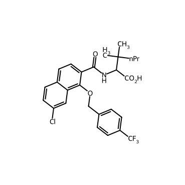 CCCC(C)(C)C(NC(=O)c1ccc2ccc(Cl)cc2c1OCc1ccc(C(F)(F)F)cc1)C(=O)O